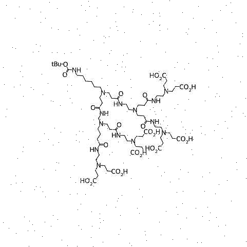 CC(C)(C)OC(=O)NCCCCCCN(CCC(=O)NCCN(CCC(=O)NCCN(CCC(=O)O)CCC(=O)O)CCC(=O)NCCN(CCC(=O)O)CCC(=O)O)CCC(=O)NCN(CCCC(=O)NCCN(CCC(=O)O)CCC(=O)O)CCC(=O)NCCN(CCC(=O)O)CCC(=O)O